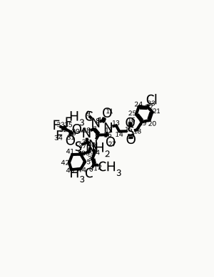 CC(C)=CCN1c2c(n(C)c(=O)n(CCS(=O)(=O)Cc3ccc(Cl)cc3)c2=O)N(OC(=O)C(F)(F)F)C1SC1(CN)CCCCC1